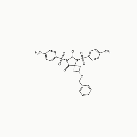 Cc1ccc(S(=O)(=O)N2C(=O)N(S(=O)(=O)c3ccc(C)cc3)[C@]3(C[C@@H](OCc4ccccc4)C3)C2=O)cc1